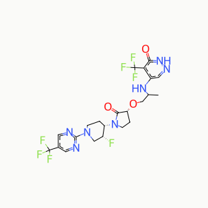 CC(CO[C@@H]1CCN([C@H]2CCN(c3ncc(C(F)(F)F)cn3)C[C@H]2F)C1=O)Nc1cn[nH]c(=O)c1C(F)(F)F